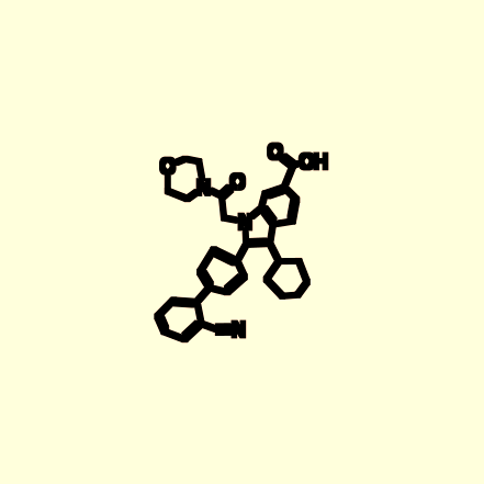 N#Cc1ccccc1-c1ccc(-c2c(C3CCCCC3)c3ccc(C(=O)O)cc3n2CC(=O)N2CCOCC2)cc1